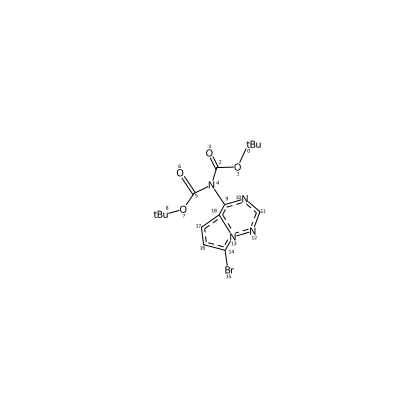 CC(C)(C)OC(=O)N(C(=O)OC(C)(C)C)c1ncnn2c(Br)ccc12